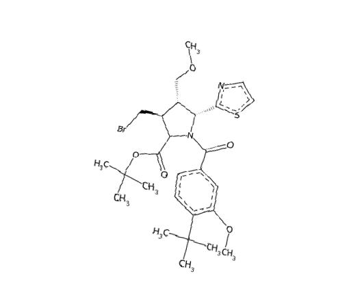 COC[C@H]1[C@H](CBr)C(C(=O)OC(C)(C)C)N(C(=O)c2ccc(C(C)(C)C)c(OC)c2)[C@H]1c1nccs1